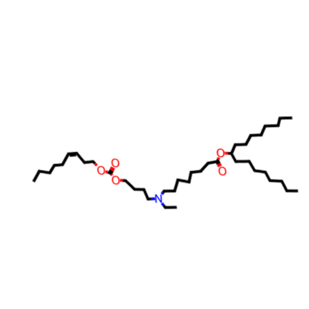 CCCCC/C=C\CCOC(=O)OCCCCN(CC)CCCCCCCC(=O)OC(CCCCCCCC)CCCCCCCC